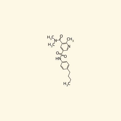 CCCCc1ccc(NS(=O)(=O)c2cnc(C)c(C(=O)N(C)C)c2)cc1